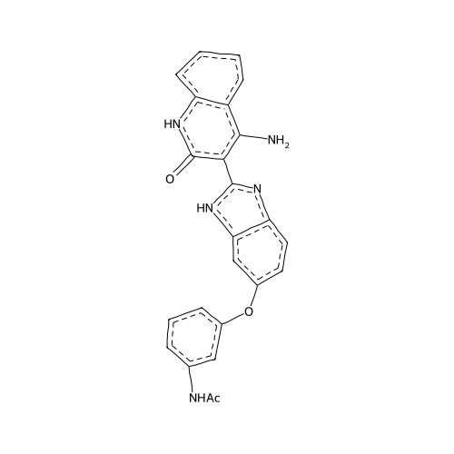 CC(=O)Nc1cccc(Oc2ccc3nc(-c4c(N)c5ccccc5[nH]c4=O)[nH]c3c2)c1